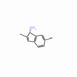 CC1=Cc2ccc(C)cc2[C@@H]1N